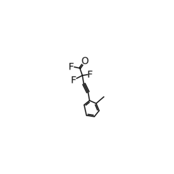 Cc1ccccc1C#CC(F)(F)C(=O)F